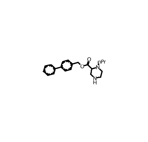 [CH2]CCN1CCNCC1C(=O)OCc1ccc(-c2ccccc2)cc1